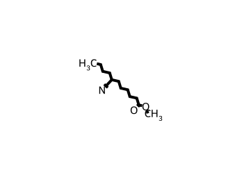 CCCCC(C#N)CCCCCC(=O)OC